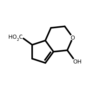 O=C(O)C1CC=C2C(O)OCCC21